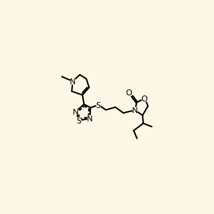 CCC(C)C1COC(=O)N1CCCSc1nsnc1C1=CCCN(C)C1